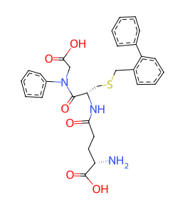 N[C@@H](CCC(=O)N[C@@H](CSCc1ccccc1-c1ccccc1)C(=O)N(CC(=O)O)c1ccccc1)C(=O)O